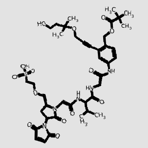 CC(C)C(NC(=O)CN1C(=O)C(N2C(=O)C=CC2=O)CC1COCCS(=O)(=O)O)C(=O)NCC(=O)Nc1ccc(COC(=O)C(C)(C)C)c(C#CCOC(C)(C)CCO)c1